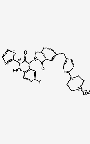 CC(C)(C)N1CCN(c2ccc(Cc3ccc4c(c3)C(=O)N(C(C(=O)Nc3nccs3)c3cc(F)ccc3O)C4)cc2)CC1